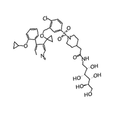 C=N/C=C(\C(=C/C)c1ccccc1OC1CC1)C1(OCc2cc(S(=O)(=O)N3CCC(CC(=O)NC[C@H](O)[C@@H](O)[C@H](O)[C@H](O)CO)CC3)ccc2Cl)CC1